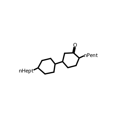 CCCCCCCC1CCC(C2CCC(CCCCC)C(=O)C2)CC1